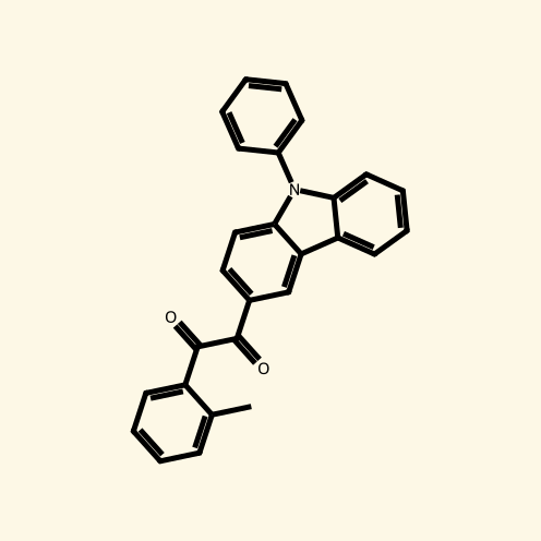 Cc1ccccc1C(=O)C(=O)c1ccc2c(c1)c1ccccc1n2-c1ccccc1